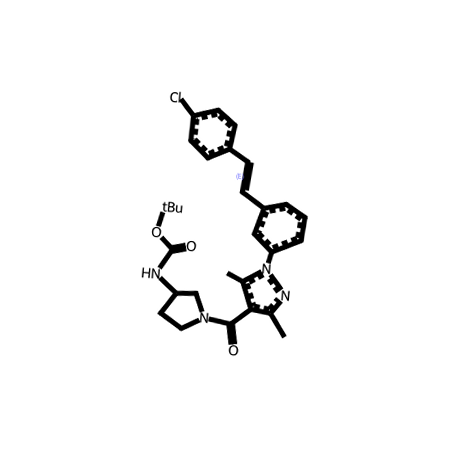 Cc1nn(-c2cccc(/C=C/c3ccc(Cl)cc3)c2)c(C)c1C(=O)N1CCC(NC(=O)OC(C)(C)C)C1